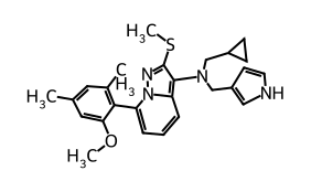 COc1cc(C)cc(C)c1-c1cccc2c(N(Cc3cc[nH]c3)CC3CC3)c(SC)nn12